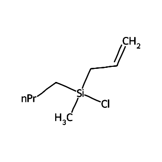 C=CC[Si](C)(Cl)CCCC